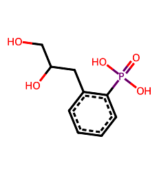 O=P(O)(O)c1ccccc1CC(O)CO